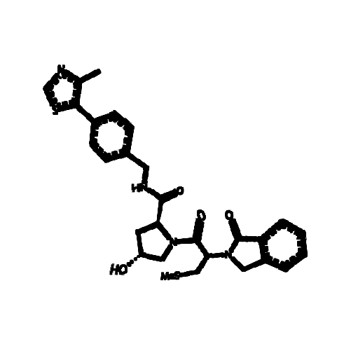 CSCC(C(=O)N1C[C@H](O)C[C@H]1C(=O)NCc1ccc(-c2scnc2C)cc1)N1Cc2ccccc2C1=O